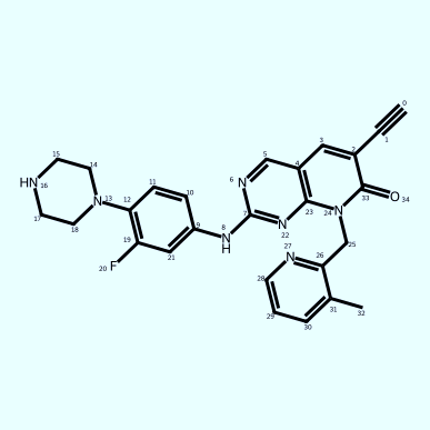 C#Cc1cc2cnc(Nc3ccc(N4CCNCC4)c(F)c3)nc2n(Cc2ncccc2C)c1=O